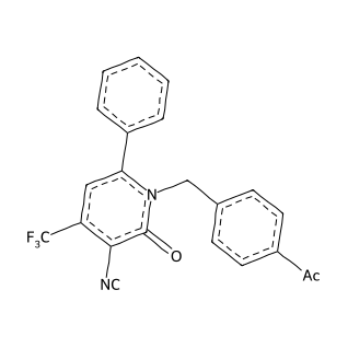 [C-]#[N+]c1c(C(F)(F)F)cc(-c2ccccc2)n(Cc2ccc(C(C)=O)cc2)c1=O